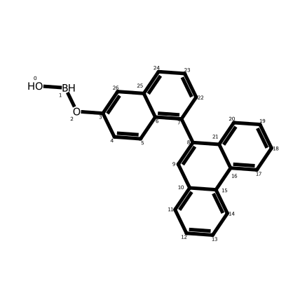 OBOc1ccc2c(-c3cc4ccccc4c4ccccc34)cccc2c1